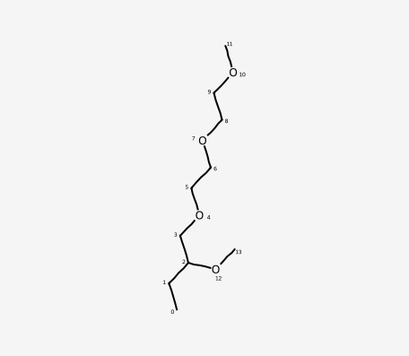 CCC(COCCOCCOC)OC